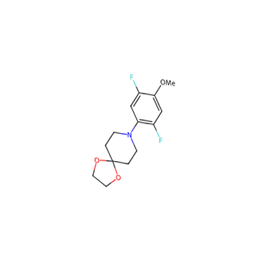 COc1cc(F)c(N2CCC3(CC2)OCCO3)cc1F